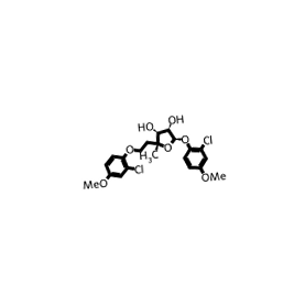 COc1ccc(OCC[C@@]2(C)O[C@H](Oc3ccc(OC)cc3Cl)[C@@H](O)[C@H]2O)c(Cl)c1